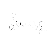 C/C=C(/NC1CCN(CCNC(=O)N[C@H](C(=O)OC2CCCC2)c2ccccc2)CC1)c1ccc(N)c(OC)c1